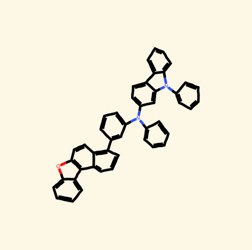 c1ccc(N(c2cccc(-c3cccc4c3ccc3oc5ccccc5c34)c2)c2ccc3c4ccccc4n(-c4ccccc4)c3c2)cc1